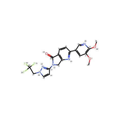 COc1cc(-c2ccc3c(n2)CN(c2ccn(CC(F)(F)F)n2)C3=O)cnc1OC